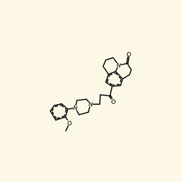 COc1ccccc1N1CCN(CCC(=O)c2cc3c4c(c2)CCC(=O)N4CCC3)CC1